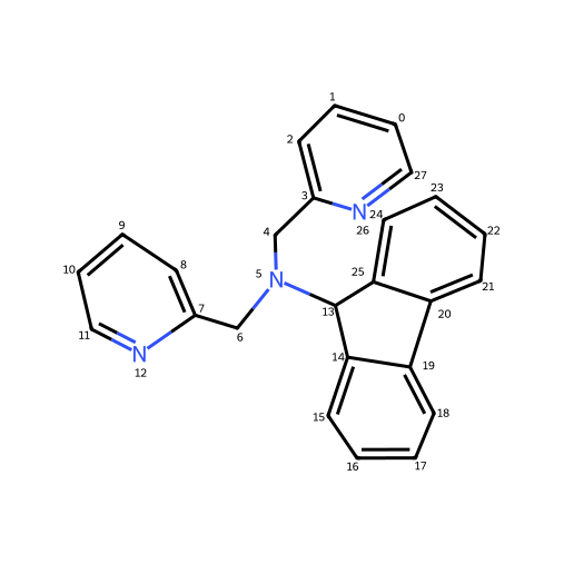 c1ccc(CN(Cc2ccccn2)C2c3ccccc3-c3ccccc32)nc1